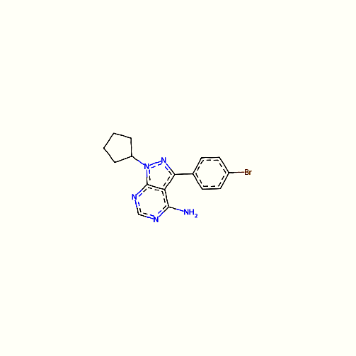 Nc1ncnc2c1c(-c1ccc(Br)cc1)nn2C1CCCC1